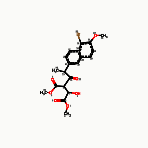 COC(=O)C(O)C(C(=O)OC)C(=O)C(C)c1ccc2c(Br)c(OC)ccc2c1